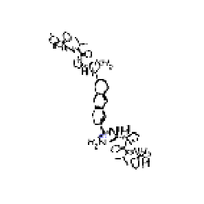 C=C(N/C(=C\N)C1=Cc2cc3c(cc2CC1)C=C(C(CN)NC(=C)[C@@H]1CCCN1C(=O)[C@@H](NC(=O)OC)C(C)C)CC3)[C@@H]1CCCN1C(=O)[C@@H](NC(=O)O)C(C)C